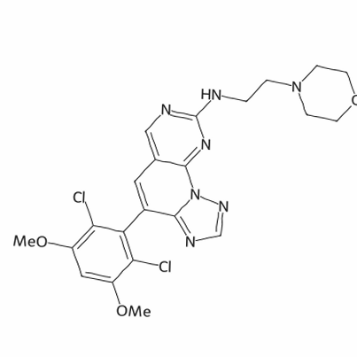 COc1cc(OC)c(Cl)c(-c2cc3cnc(NCCN4CCOCC4)nc3n3ncnc23)c1Cl